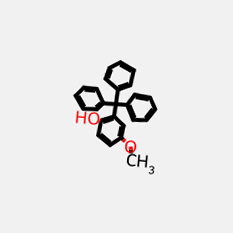 COc1ccc(O)c(C(c2ccccc2)(c2ccccc2)c2ccccc2)c1